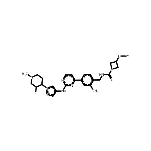 Cc1cc(-c2ccnc(Nc3cnn(C4CCN(C)CC4F)c3)n2)ccc1CNC(=O)N1CC(OC(C)C)C1